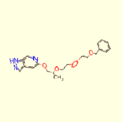 CC(COc1cc2cn[nH]c2cn1)OCCOCCOCc1ccccc1